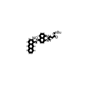 CCCCOC(=O)CCC1(C)Nc2cccc3c(N=Nc4c([N+](=O)[O-])ccc5cc6ccccc6cc45)ccc(c23)N1